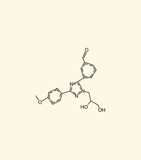 COc1ccc(-c2nc(-c3cccc(C=O)c3)n(CC(O)CO)n2)cc1